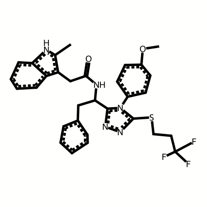 COc1ccc(-n2c(SCCC(F)(F)F)nnc2C(Cc2ccccc2)NC(=O)Cc2c(C)[nH]c3ccccc23)cc1